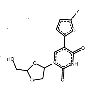 O=c1[nH]c(=O)n(C2COC(CO)O2)cc1-c1cc[c]([Y])o1